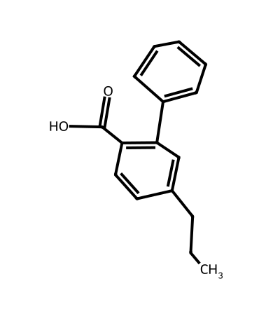 CCCc1ccc(C(=O)O)c(-c2ccccc2)c1